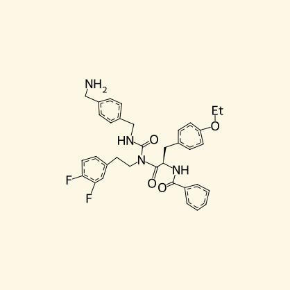 CCOc1ccc(C[C@@H](NC(=O)c2ccccc2)C(=O)N(CCc2ccc(F)c(F)c2)C(=O)NCc2ccc(CN)cc2)cc1